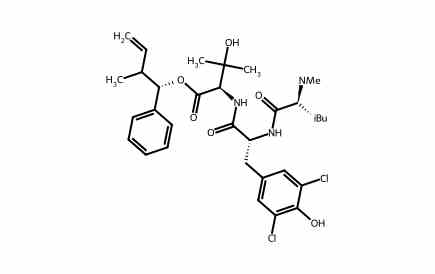 C=CC(C)[C@H](OC(=O)[C@H](NC(=O)[C@@H](Cc1cc(Cl)c(O)c(Cl)c1)NC(=O)[C@@H](NC)[C@@H](C)CC)C(C)(C)O)c1ccccc1